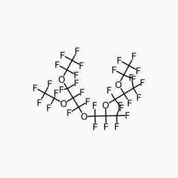 FC(F)(F)C(F)(F)OC(F)(F)C(F)(OC(F)(F)C(F)(F)F)C(F)(F)OC(F)(F)C(F)(OC(F)(F)C(F)(OC(F)(F)C(F)(F)F)C(F)(F)F)C(F)(F)F